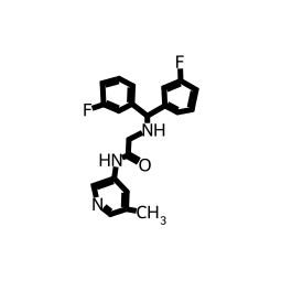 Cc1cncc(NC(=O)CNC(c2cccc(F)c2)c2cccc(F)c2)c1